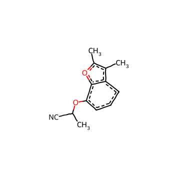 Cc1oc2c(OC(C)C#N)cccc2c1C